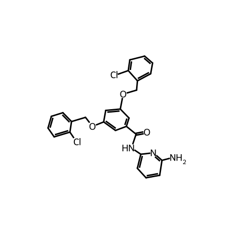 Nc1cccc(NC(=O)c2cc(OCc3ccccc3Cl)cc(OCc3ccccc3Cl)c2)n1